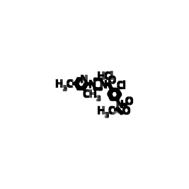 Cc1cnc(N2CCN(C(=O)c3ccc(N4C(=O)OC[C@H]4C)cc3Cl)CC2)c(C)c1.Cl